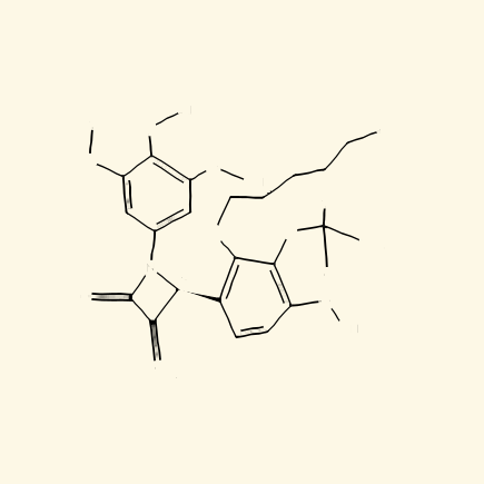 C=C1C(=O)N(c2cc(OC)c(OC)c(OC)c2)[C@H]1c1ccc(OC)c(OC(C)(C)C)c1OCCCCCC